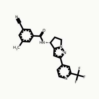 Cc1cc(C#N)cc(C(=O)N[C@@H]2CCn3nc(-c4ccnc(C(F)(F)F)c4)cc32)c1